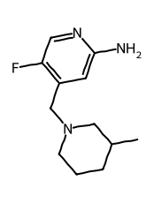 CC1CCCN(Cc2cc(N)ncc2F)C1